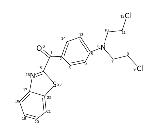 O=C(c1ccc(N(CCCl)CCCl)cc1)c1nc2ccccc2s1